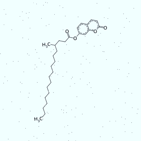 CCCCCCCCCCCCCCC(C)CCC(=O)Oc1ccc2ccc(=O)oc2c1